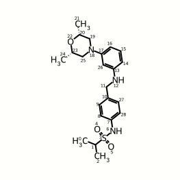 CC(C)S(=O)(=O)Nc1ccc(CNc2cccc(N3C[C@@H](C)O[C@@H](C)C3)c2)cc1